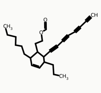 C#CC#CC#CC#CC1C(CCC)C=CC(CCCCCC)C1CCOC=O